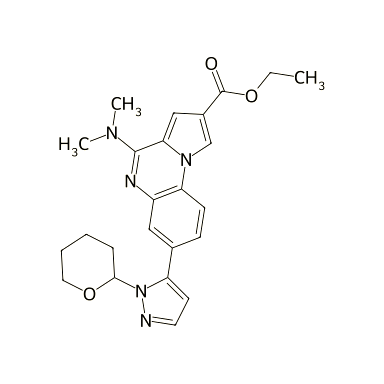 CCOC(=O)c1cc2c(N(C)C)nc3cc(-c4ccnn4C4CCCCO4)ccc3n2c1